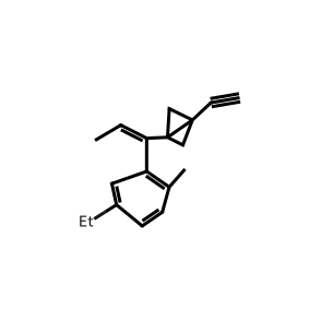 C#CC12CC1(/C(=C/C)c1cc(CC)ccc1C)C2